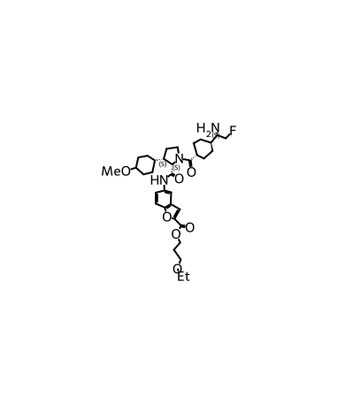 CCOCCCOC(=O)c1cc2cc(NC(=O)[C@@H]3[C@H](C4CCC(OC)CC4)CCN3C(=O)[C@H]3CC[C@H]([C@H](N)CF)CC3)ccc2o1